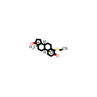 C[C@]12CCC(=O)C(SCC#N)=C1CC[C@@H]1[C@@H]2CC[C@]2(C)C(=O)CC[C@@H]12